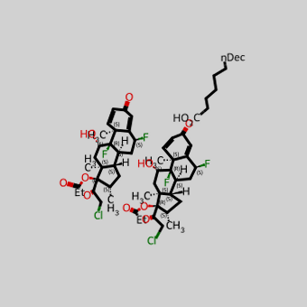 CCC(=O)O[C@]1(C(=O)CCl)[C@@H](C)C[C@H]2[C@@H]3C[C@H](F)C4=CC(=O)C=C[C@]4(C)[C@@]3(F)[C@@H](O)C[C@@]21C.CCC(=O)O[C@]1(C(=O)CCl)[C@@H](C)C[C@H]2[C@@H]3C[C@H](F)C4=CC(=O)C=C[C@]4(C)[C@@]3(F)[C@@H](O)C[C@@]21C.CCCCCCCCCCCCCCCC(=O)O